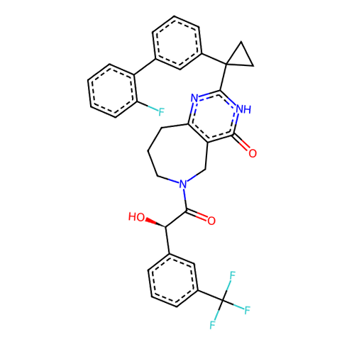 O=C([C@H](O)c1cccc(C(F)(F)F)c1)N1CCCc2nc(C3(c4cccc(-c5ccccc5F)c4)CC3)[nH]c(=O)c2C1